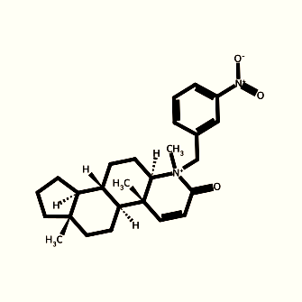 C[C@@]12CCC[C@H]1[C@@H]1CC[C@@H]3[C@](C)(C=CC(=O)[N+]3(C)Cc3cccc([N+](=O)[O-])c3)[C@H]1CC2